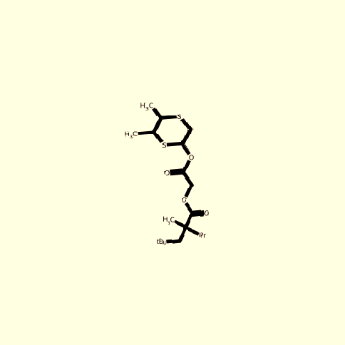 CC1SCC(OC(=O)COC(=O)C(C)(CC(C)(C)C)C(C)C)SC1C